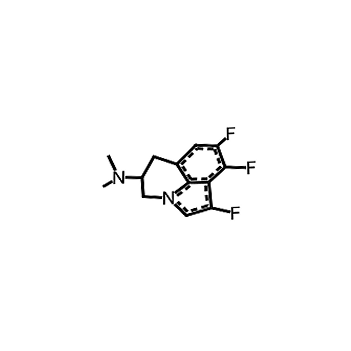 CN(C)C1Cc2cc(F)c(F)c3c(F)cn(c23)C1